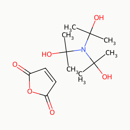 CC(C)(O)N(C(C)(C)O)C(C)(C)O.O=C1C=CC(=O)O1